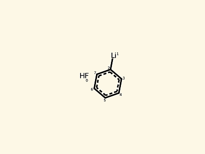 F.[Li][c]1ccccc1